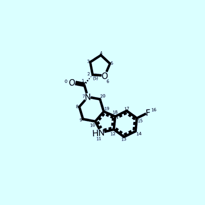 O=C([C@@H]1CCCO1)N1CCc2[nH]c3ccc(F)cc3c2C1